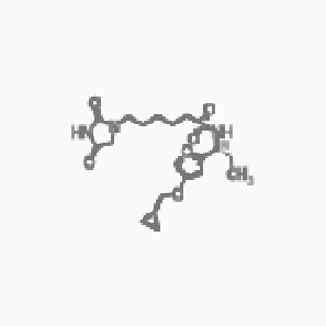 CC[C@@H](NS(=O)(=O)CCCCCN1CC(=O)NC1=O)c1cc(OCC2CC2)co1